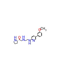 COc1cccc(-c2ccc(NCCNCC(=O)[C@@H]3CCCN3)nc2)c1